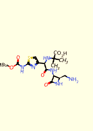 CC(C)(C)OC(=O)Nc1nc(C(NC(C)(C)C(=O)O)C(=O)N[C@@H]2C(=O)N[C@@H]2CN)cs1